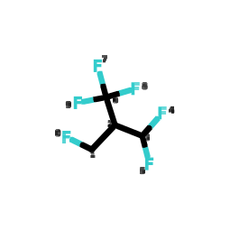 FCC(C(F)F)C(F)(F)F